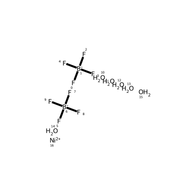 F[B-](F)(F)F.F[B-](F)(F)F.O.O.O.O.O.O.[Ni+2]